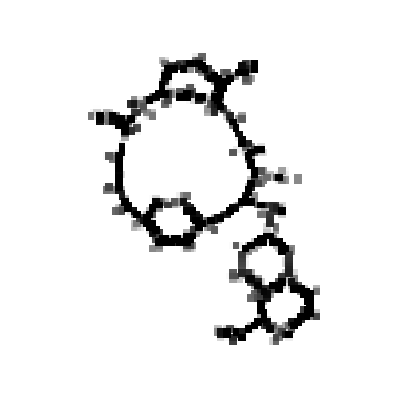 Nc1nccc2cc(NC3C(=O)NCc4cc(ccc4S)NC(=O)CCCc4ccc3cc4)ccc12